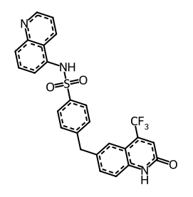 O=c1cc(C(F)(F)F)c2cc(Cc3ccc(S(=O)(=O)Nc4cccc5ncccc45)cc3)ccc2[nH]1